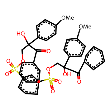 COc1ccc(C(O)(COS(=O)(=O)c2cccc(S(=O)(=O)OCC(O)(C(=O)c3ccccc3)c3ccc(OC)cc3)c2)C(=O)c2ccccc2)cc1